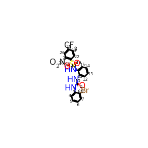 O=C(Nc1ccccc1Br)Nc1ccccc1NS(=O)(=O)c1ccc(C(F)(F)F)cc1[N+](=O)[O-]